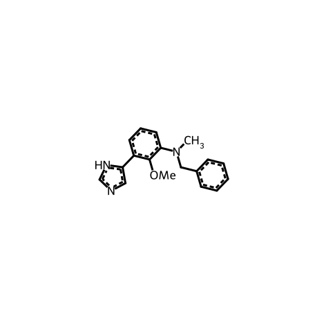 COc1c(-c2cnc[nH]2)cccc1N(C)Cc1ccccc1